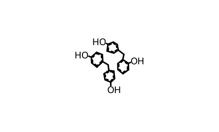 Oc1ccc(Cc2ccc(O)cc2)cc1.Oc1ccc(Cc2ccccc2O)cc1